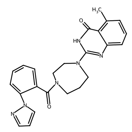 Cc1cccc2nc(N3CCCN(C(=O)c4ccccc4-n4cccn4)CC3)[nH]c(=O)c12